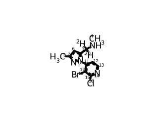 [2H]C([2H])(NC)c1cc(C)nn1-c1ccnc(Cl)c1Br